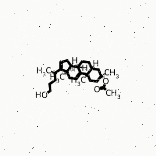 CC(=O)O[C@@]1(C)CC[C@]2(C)C3=CC[C@]4(C)C([C@H](C)CCCO)=CC[C@H]4[C@@H]3CC[C@@H]2C1